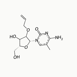 C=CCOC1C(O)[C@@H](CO)O[C@H]1n1cc(C)c(N)nc1=O